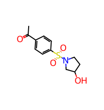 CC(=O)c1ccc(S(=O)(=O)N2CCC(O)C2)cc1